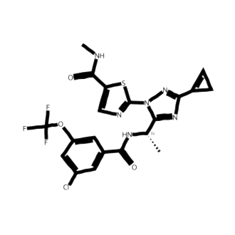 CNC(=O)c1cnc(-n2nc(C3=CC3)nc2[C@H](C)NC(=O)c2cc(Cl)cc(OC(F)(F)F)c2)s1